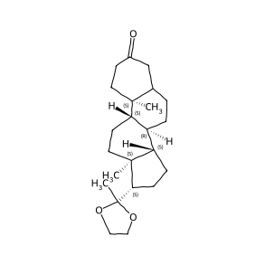 CC1([C@H]2CC[C@H]3[C@@H]4CCC5CC(=O)CC[C@]5(C)[C@H]4CC[C@]23C)OCCO1